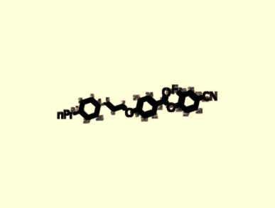 CCC[C@H]1CC[C@H](CCCOc2ccc(C(=O)Oc3ccc(C#N)cc3F)cc2)CC1